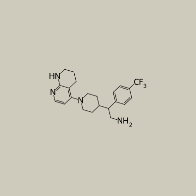 NCC(c1ccc(C(F)(F)F)cc1)C1CCN(c2ccnc3c2CCCN3)CC1